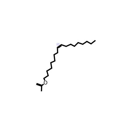 C=C(C)OCCCCCCCC/C=C\CCCCCCCC